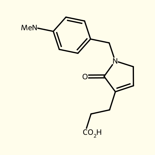 CNc1ccc(CN2CC=C(CCC(=O)O)C2=O)cc1